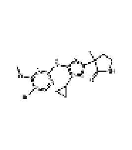 COc1nc(Nc2sc(C3(C)CCNC3=O)nc2C2CC2)ncc1Br